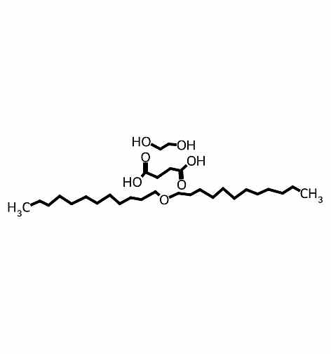 CCCCCCCCCCCCOCCCCCCCCCCCC.O=C(O)CCC(=O)O.OCCO